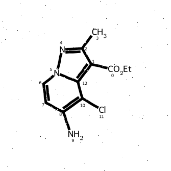 CCOC(=O)c1c(C)nn2ccc(N)c(Cl)c12